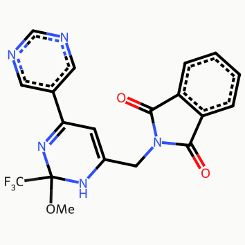 COC1(C(F)(F)F)N=C(c2cncnc2)C=C(CN2C(=O)c3ccccc3C2=O)N1